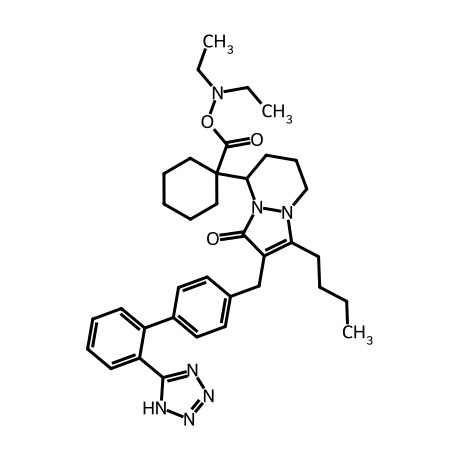 CCCCc1c(Cc2ccc(-c3ccccc3-c3nnn[nH]3)cc2)c(=O)n2n1CCCC2C1(C(=O)ON(CC)CC)CCCCC1